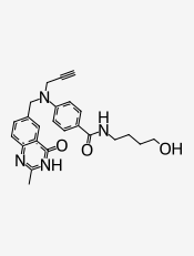 C#CCN(Cc1ccc2nc(C)[nH]c(=O)c2c1)c1ccc(C(=O)NCCCCO)cc1